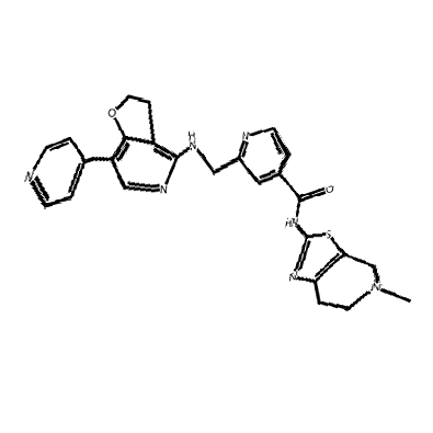 CN1CCc2nc(NC(=O)c3ccnc(CNc4ncc(-c5ccncc5)c5c4CCO5)c3)sc2C1